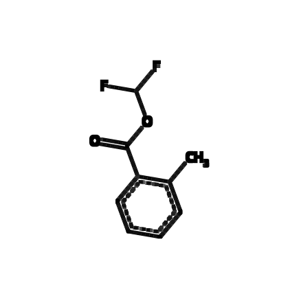 Cc1ccccc1C(=O)OC(F)F